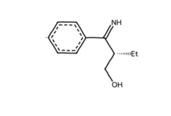 CC[C@H](CO)C(=N)c1cc[c]cc1